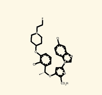 C[C@@H](Oc1cc(-n2cnc3cc(Cl)ccc32)sc1C(=O)O)c1cccc(OC2CCN(CCF)CC2)c1Cl